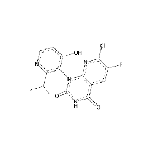 CC(C)c1nccc(O)c1-n1c(=O)[nH]c(=O)c2cc(F)c(Cl)nc21